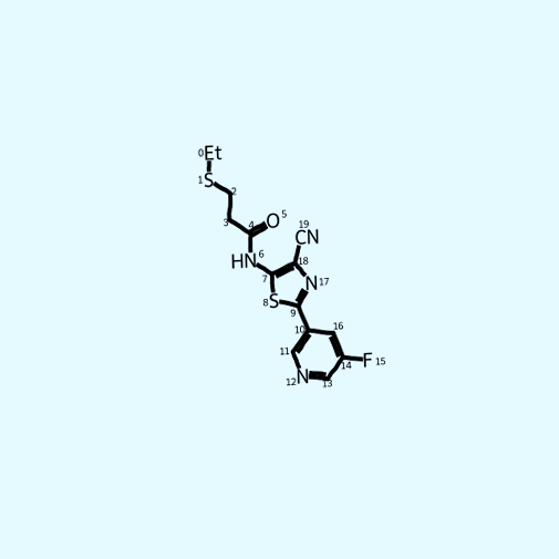 CCSCCC(=O)Nc1sc(-c2cncc(F)c2)nc1C#N